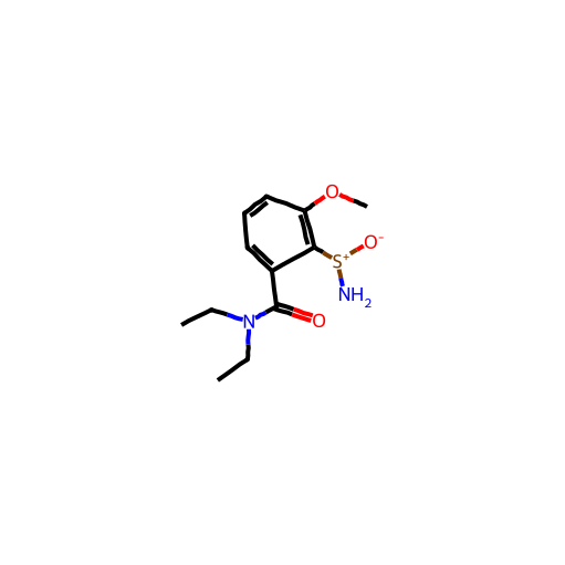 CCN(CC)C(=O)c1cccc(OC)c1[S+](N)[O-]